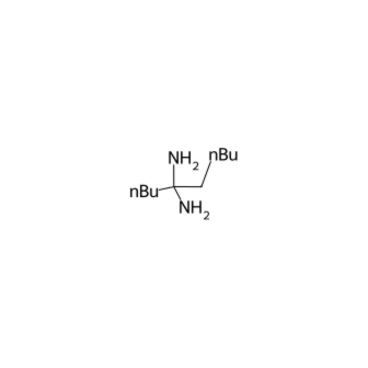 CCCCCC(N)(N)CCCC